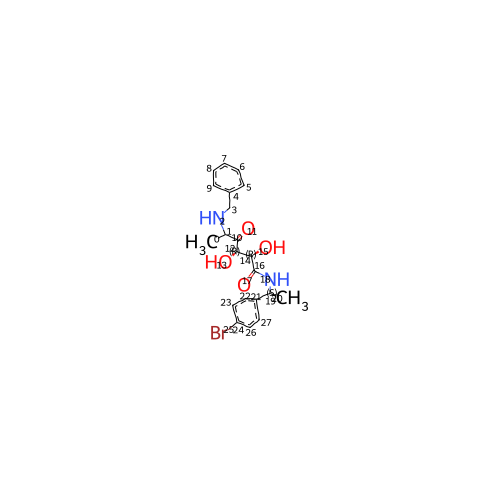 CC(NCc1ccccc1)C(=O)[C@H](O)[C@@H](O)C(=O)N[C@@H](C)c1ccc(Br)cc1